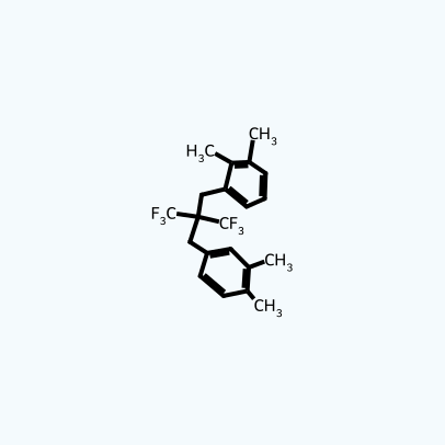 Cc1ccc(CC(Cc2cccc(C)c2C)(C(F)(F)F)C(F)(F)F)cc1C